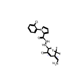 N/C=C(\C=C(\Cl)C(I)NNC(=O)c1cccn1-c1ccccc1Cl)C(F)(F)F